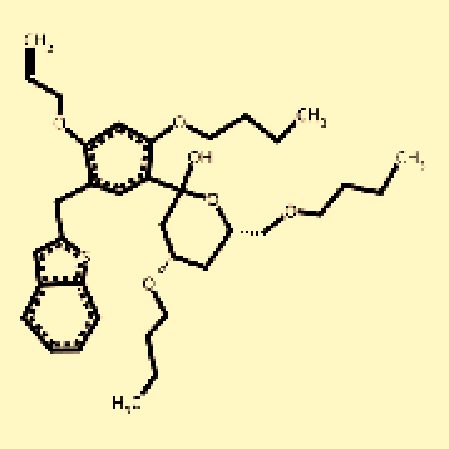 C=CCOc1cc(OCCCC)c(C2(O)C[C@@H](OCCCC)C[C@@H](COCCCC)O2)cc1Cc1cc2ccccc2s1